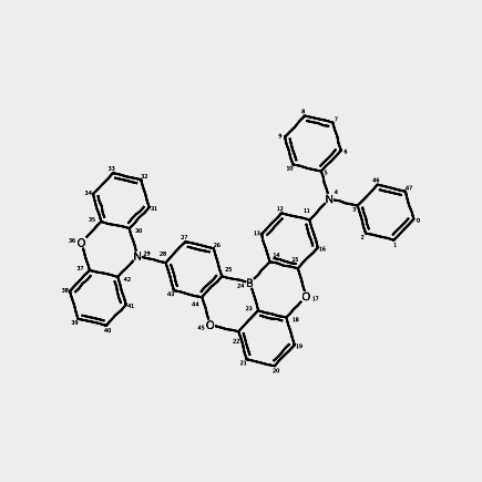 c1ccc(N(c2ccccc2)c2ccc3c(c2)Oc2cccc4c2B3c2ccc(N3c5ccccc5Oc5ccccc53)cc2O4)cc1